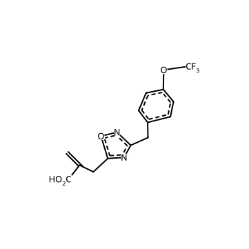 C=C(Cc1nc(Cc2ccc(OC(F)(F)F)cc2)no1)C(=O)O